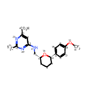 O=C(O)c1cc(NC[C@H]2CCC[C@@H](c3ccc(OC(F)(F)F)cc3)O2)nc(C(F)(F)F)n1